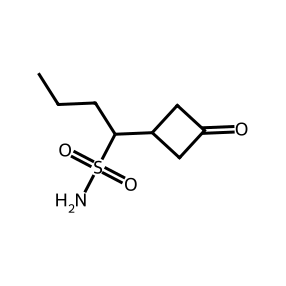 CCCC(C1CC(=O)C1)S(N)(=O)=O